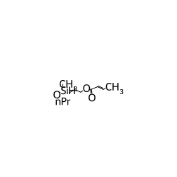 CC=CC(=O)OCCC[SiH](C)OCCC